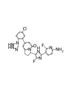 Nc1ccc(-c2nc(F)c(C3CCc4cc(-c5cc(Cl)ccc5N5C=NNN5)cc(=O)n43)[nH]2)c(F)n1